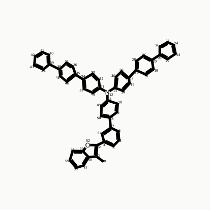 Cc1c(-c2cccc(-c3ccc(N(c4ccc(-c5ccc(-c6ccccc6)cc5)cc4)c4ccc(-c5ccc(-c6ccccc6)cc5)cc4)cc3)c2)oc2ccccc12